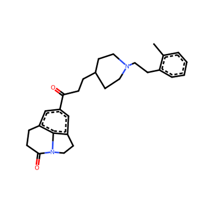 Cc1ccccc1CCN1CCC(CCC(=O)c2cc3c4c(c2)CCN4C(=O)CC3)CC1